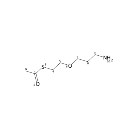 CC(=O)SCCOCCCN